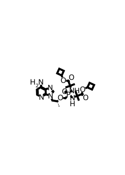 C[C@H](Cn1cnc2c(N)ccnc21)OCP(=O)(NC(C)(C)C(=O)OC1CCC1)NC(C)(C)C(=O)OC1CCC1